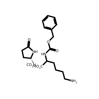 NCCCCC(NC(=O)OCc1ccccc1)C(=O)O.O=C1CC[C@@H](C(=O)O)N1